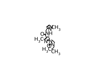 Cc1nc(N2CCN(CC(C)C)C2=O)sc1C(=O)NCc1ccn(C)n1